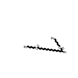 CC(C)CCCCCOC(=O)CCCCCCCCCCCCCC(C(=O)OCCCCCC(C)C)C(C)C